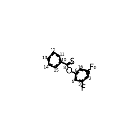 Fc1cc(F)cc(OC(=S)c2ccccc2)c1